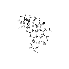 CC(Nc1nc(CNC(=O)[C@@H]2CCCN2S(=O)(=O)c2ccc(F)cc2)cc(-c2ccc(Br)cc2)n1)c1ccccc1